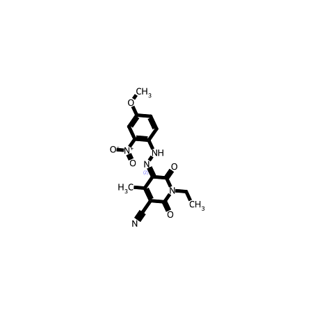 CCN1C(=O)C(C#N)=C(C)/C(=N/Nc2ccc(OC)cc2[N+](=O)[O-])C1=O